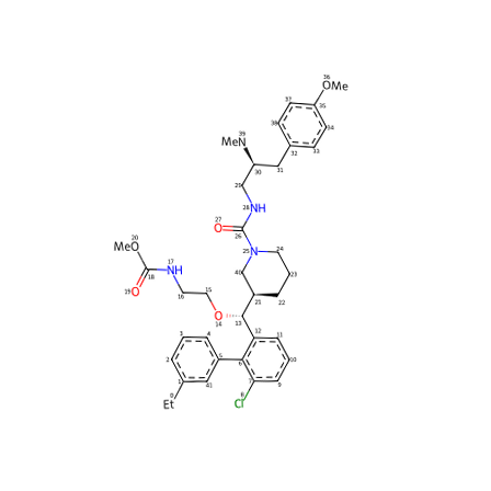 CCc1cccc(-c2c(Cl)cccc2[C@H](OCCNC(=O)OC)[C@@H]2CCCN(C(=O)NC[C@H](Cc3ccc(OC)cc3)NC)C2)c1